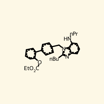 CCCCc1nc2cccc(NCCC)c2n1Cc1ccc(-c2ccccc2OC(=O)OCC)cc1